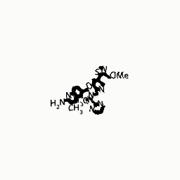 COCc1ncsc1-c1ccc(CN(C(=O)c2ccc3nc(N)c(C)cc3c2)N(C)c2ncccn2)nc1